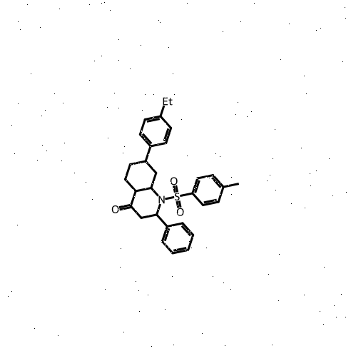 CCc1ccc(C2CCC3C(=O)CC(c4ccccc4)N(S(=O)(=O)c4ccc(C)cc4)C3C2)cc1